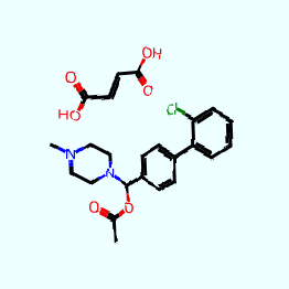 CC(=O)OC(c1ccc(-c2ccccc2Cl)cc1)N1CCN(C)CC1.O=C(O)C=CC(=O)O